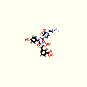 NCCN1CCN(C(=O)N[C@@H](C(=O)N[C@H]2Cc3cccc(C(=O)O)c3OB2O)c2cc(F)c(O)c(F)c2)C(=O)C1=O